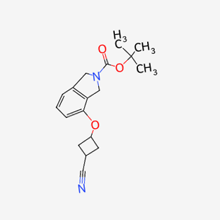 CC(C)(C)OC(=O)N1Cc2cccc(OC3CC(C#N)C3)c2C1